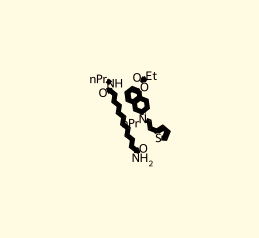 CCCN(CCc1cccs1)[C@@H]1CCc2c(cccc2OC(=O)CC)C1.CCCNC(=O)CCCCCCCCCCC(N)=O